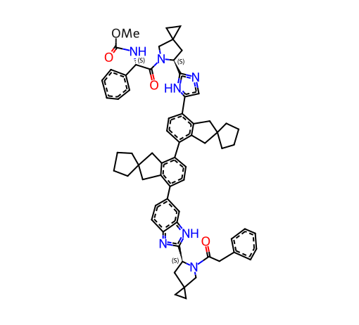 COC(=O)N[C@H](C(=O)N1CC2(CC2)C[C@H]1c1ncc(-c2ccc(-c3ccc(-c4ccc5nc([C@@H]6CC7(CC7)CN6C(=O)Cc6ccccc6)[nH]c5c4)c4c3CC3(CCCC3)C4)c3c2CC2(CCCC2)C3)[nH]1)c1ccccc1